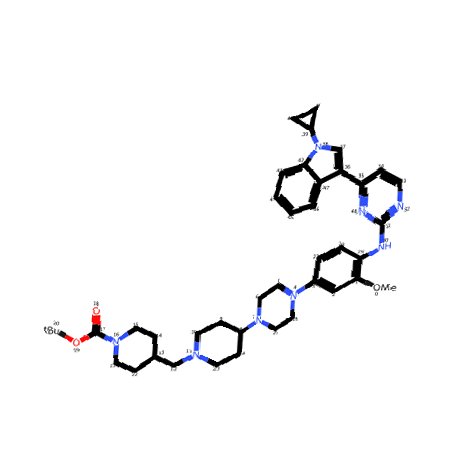 COc1cc(N2CCN(C3CCN(CC4CCN(C(=O)OC(C)(C)C)CC4)CC3)CC2)ccc1Nc1nccc(-c2cn(C3CC3)c3ccccc23)n1